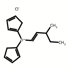 CCC(C)/C=[CH]/[Zr+]([C]1=CC=CC1)[C]1=CC=CC1.[Cl-]